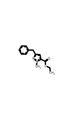 CCOC(=O)c1cc(Cc2ccccc2)nn1C